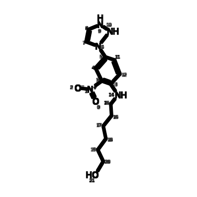 O=[N+]([O-])c1cc(N2C=CNN2)ccc1NCCCCCCO